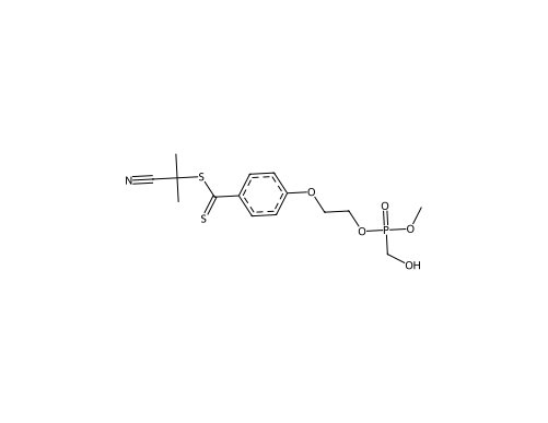 COP(=O)(CO)OCCOc1ccc(C(=S)SC(C)(C)C#N)cc1